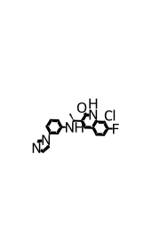 C[C@H](Nc1cccc(-n2ccnc2)c1)c1cc2ccc(F)c(Cl)c2[nH]c1=O